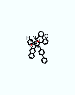 N/C(=N\C(=N/Cc1ccc(-c2ccccc2)cc1)c1ccccc1)C1=CCCc2oc3cccc(-c4ccc5oc6cc7ccccc7cc6c5c4)c3c21